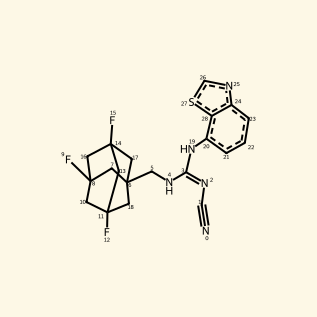 N#C/N=C(\NCC12CC3(F)CC(F)(CC(F)(C3)C1)C2)Nc1cccc2ncsc12